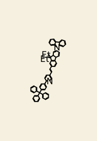 CCC1(CC)c2cc(/C=C/c3ccc(-c4ccc(C(c5ccccc5)(c5ccccc5)c5ccccc5)cc4)nc3)ccc2C2C=CC(n3c4ccccc4c4ccccc43)=CC21